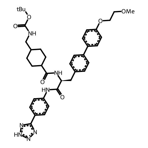 COCCOc1ccc(-c2ccc(C[C@H](NC(=O)C3CCC(CNC(=O)OC(C)(C)C)CC3)C(=O)Nc3ccc(-c4nn[nH]n4)cc3)cc2)cc1